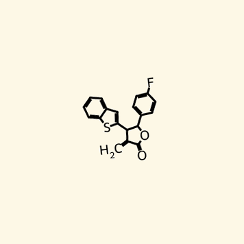 C=C1C(=O)OC(c2ccc(F)cc2)C1c1cc2ccccc2s1